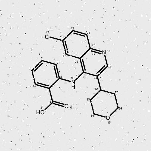 O=C(O)c1ccccc1Nc1c(C2CCOCC2)cnc2ccc(Cl)cc12